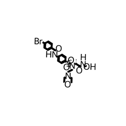 C[C@H](C(=O)NO)N(CCN1CCOCC1)S(=O)(=O)c1ccc(NC(=O)c2ccc(Br)cc2)cc1